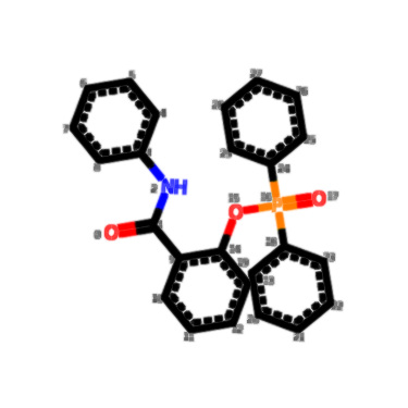 O=C(Nc1ccccc1)c1ccccc1OP(=O)(c1ccccc1)c1ccccc1